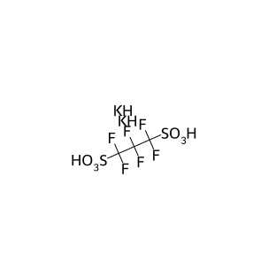 O=S(=O)(O)C(F)(F)C(F)(F)C(F)(F)S(=O)(=O)O.[KH].[KH]